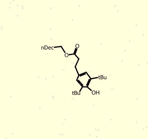 CCCCCCCCCCCOC(=O)CCc1cc(C(C)(C)C)c(O)c(C(C)(C)C)c1